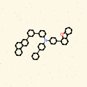 c1ccc(-c2ccc(N(c3ccc(-c4cccc5c4oc4ccccc45)cc3)c3cccc(-c4cccc(-c5ccc6c(ccc7ccccc76)c5)c4)c3)cc2)cc1